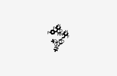 CC(C)(C)OC(=O)N1C[C@@H](CCc2c(F)cncc2NC(=O)C[C@@H](c2ccc(F)cc2)c2ccncc2F)OC[C@H]1CO[Si](C)(C)C(C)(C)C